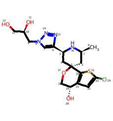 C[C@H]1C[C@@]2(C[C@@H](c3cn(C[C@H](O)CO)nn3)N1)OC[C@@H](O)c1cc(Cl)sc12